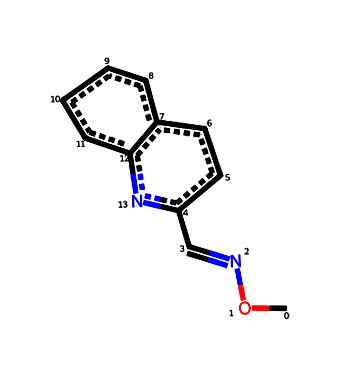 CO/N=C/c1ccc2ccccc2n1